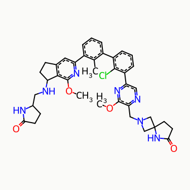 COc1nc(-c2cccc(-c3cccc(-c4cc5c(c(OC)n4)C(NCC4CCC(=O)N4)CC5)c3C)c2Cl)cnc1CN1CC2(CCC(=O)N2)C1